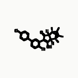 CCc1ccc(-c2ccc(Cl)cc2)cc1C1=C(O)[C@@H]2[C@H](C1=O)[C@@]1(C)C[C@]2(C)C(C)=C1C